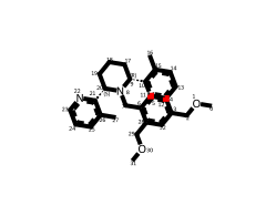 COCc1ccc(CN2[C@@H](c3ncccc3C)CCC[C@H]2c2ncccc2C)c(COC)c1